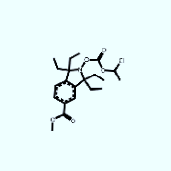 CCC1(CC)c2ccc(C(=O)OC)cc2C(CC)(CC)N1OC(=O)OC(C)Cl